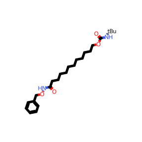 CC(C)(C)NC(=O)OCCCCCCCCCCCC(=O)NOCc1ccccc1